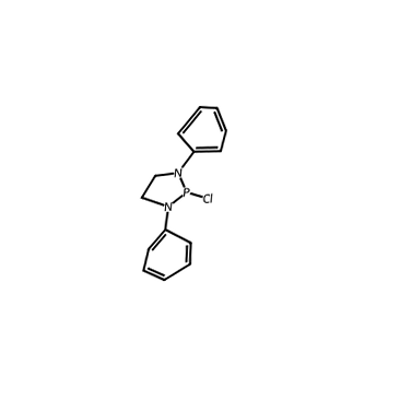 ClP1N(c2ccccc2)CCN1c1ccccc1